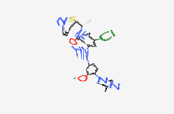 COc1cc(Nc2cc(Cl)cn([C@@H](C)c3ccns3)c2=O)ccc1-n1cnc(C)c1